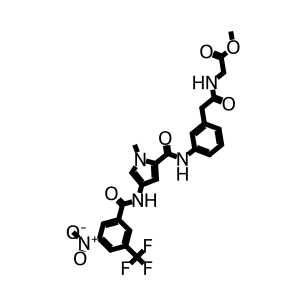 COC(=O)CNC(=O)Cc1cccc(NC(=O)c2cc(NC(=O)c3cc([N+](=O)[O-])cc(C(F)(F)F)c3)cn2C)c1